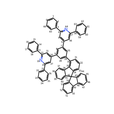 c1ccc(-c2cc(-c3cc(-c4cc(-c5ccccc5)nc(-c5ccccc5)c4)cc(-c4cccc5c4-c4ccccc4C54c5ccccc5-c5ccccc54)c3)cc(-c3ccccc3)n2)cc1